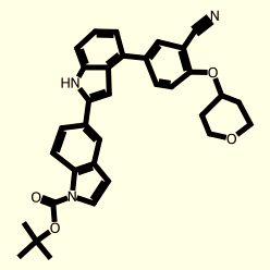 CC(C)(C)OC(=O)n1ccc2cc(-c3cc4c(-c5ccc(OC6CCOCC6)c(C#N)c5)cccc4[nH]3)ccc21